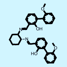 COc1ccccc1-c1cccc(/C=N/C2CCCC[C@H]2/N=C/c2cccc(-c3ccccc3OC)c2O)c1O